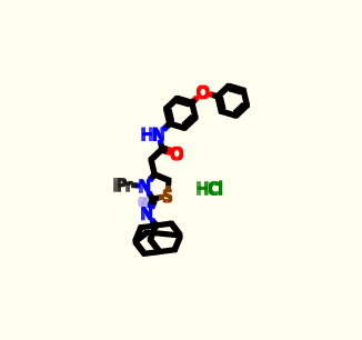 CC(C)N1/C(=N/C23CC4CC(CC(C4)C2)C3)SCC1CC(=O)Nc1ccc(Oc2ccccc2)cc1.Cl